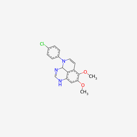 COc1cc2c3c(c1OC)C=CN(c1ccc(Cl)cc1)C3N=CN2